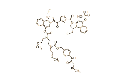 CNCC(=O)Nc1ccc(COC(=O)N(CCOC)CCN(CCOC)C(=O)Oc2cc3c(c4ccccc24)[C@H](CCl)CN3C(=O)c2ccc(C(=O)N3CC(CCl)c4c3cc(OP(=O)(O)O)c3ccccc43)s2)cc1